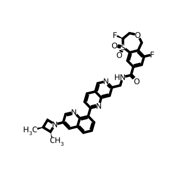 C[C@@H]1[C@@H](C)CN1c1cnc2c(-c3ccc4cnc(CNC(=O)c5cc(F)c6c(c5)S(=O)(=O)[C@@H](F)COC6)cc4n3)cccc2c1